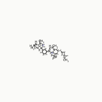 C=CN1C=C(CN2CC3(CC3C)C2)C=C(C(F)(F)F)/C1=C/N(C)c1cccc(C2(/C=C\N(C)CNN)CC(C)C2)c1